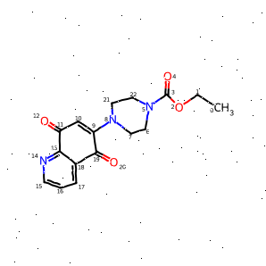 CCOC(=O)N1CCN(C2=CC(=O)c3ncccc3C2=O)CC1